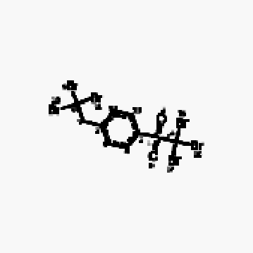 O=S(=O)(c1ccc(CC(Br)(Br)Br)cc1)C(Br)(Br)Br